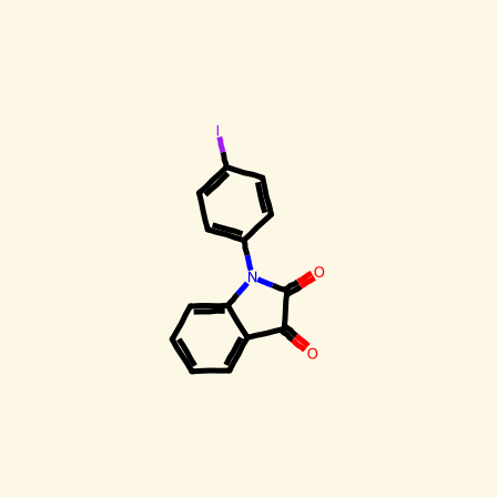 O=C1C(=O)N(c2ccc(I)cc2)c2ccccc21